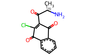 C[C@H](N)C(=O)C1=C(Cl)C(=O)c2ccccc2C1=O